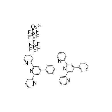 F[P-](F)(F)(F)(F)F.F[P-](F)(F)(F)(F)F.[Os+2].c1ccc(-c2cc(-c3ccccn3)nc(-c3ccccn3)c2)cc1.c1ccc(-c2cc(-c3ccccn3)nc(-c3ccccn3)c2)cc1